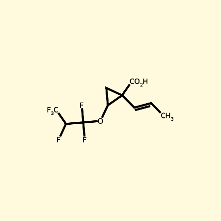 CC=CC1(C(=O)O)CC1OC(F)(F)C(F)C(F)(F)F